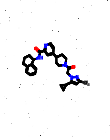 O=C(N[C@@H]1CCCc2ccccc21)c1cc(C2CCN(C(=O)Cn3nc(C(F)(F)F)cc3C3CC3)CC2)ccn1